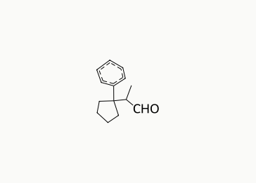 CC(C=O)C1(c2ccccc2)CCCC1